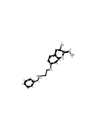 CC(=O)c1cc2ccc(OCCNCc3ccccc3)cc2oc1=NO